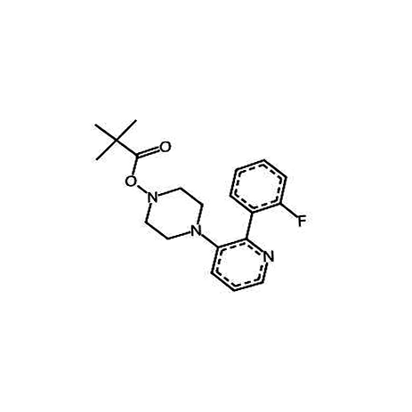 CC(C)(C)C(=O)ON1CCN(c2cccnc2-c2ccccc2F)CC1